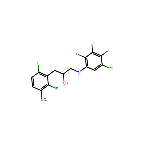 O=[N+]([O-])c1ccc(F)c(CC(O)CNc2cc(Cl)c(F)c(Cl)c2F)c1F